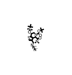 CN(C)C(=O)C1c2c(CN=[N+]=[N-])csc2C(O[Si](C)(C)C(C)(C)C)CN1C(=O)OC(C)(C)C